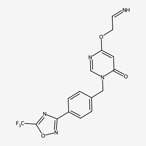 N=CCOc1cc(=O)n(Cc2ccc(-c3noc(C(F)(F)F)n3)cc2)cn1